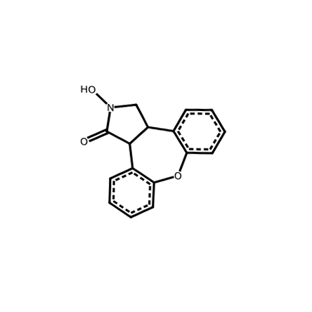 O=C1C2c3ccccc3Oc3ccccc3C2CN1O